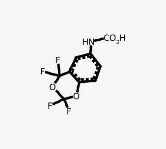 O=C(O)Nc1ccc2c(c1)C(F)(F)OC(F)(F)O2